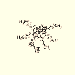 CCCCCCc1cc(CCCCCC)cc([Si](c2cc(CCCCCC)cc(CCCCCC)c2)(c2cc(CCCCCC)cc(CCCCCC)c2)[C]2([Ti+3])CCC3CC=CC=C32)c1.[Cl-].[Cl-].[Cl-]